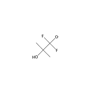 CC(C)(O)C([O])(F)F